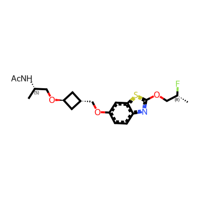 CC(=O)N[C@@H](C)CO[C@H]1C[C@H](COc2ccc3nc(OC[C@@H](C)F)sc3c2)C1